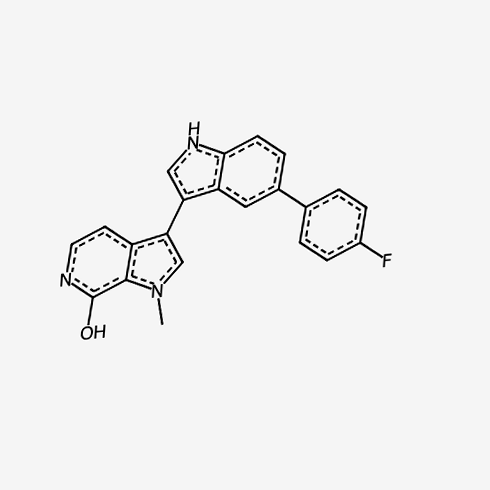 Cn1cc(-c2c[nH]c3ccc(-c4ccc(F)cc4)cc23)c2ccnc(O)c21